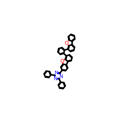 c1ccc(-c2nc(-c3ccccc3)nc(-c3ccc4c(c3)oc3c(-c5ccccc5-c5cccc6c5oc5ccccc56)cccc34)n2)cc1